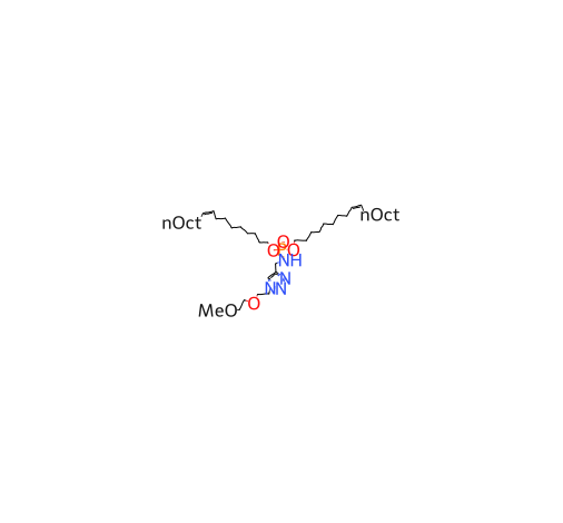 CCCCCCCC/C=C\CCCCCCCCOP(=O)(NCc1cn(CCOCCOC)nn1)OCCCCCCCC/C=C\CCCCCCCC